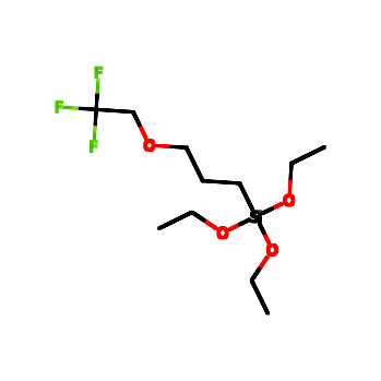 CCO[Si](CCCOCC(F)(F)F)(OCC)OCC